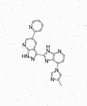 Cc1cn(-c2ccnc3[nH]c(-c4n[nH]c5ncc(-c6ccccn6)cc45)nc23)cn1